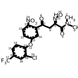 CN(C)C(=O)C([C]C(=O)c1cc(Oc2ccc(C(F)(F)F)cc2Cl)ccc1[N+](=O)[O-])=NO